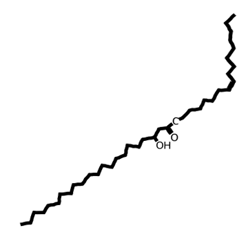 CCCCCCCC/C=C\CCCCCCCC(=O)CC(O)CCCCCCCCCCCCCCCCCCC